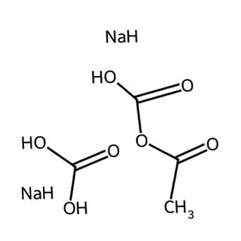 CC(=O)OC(=O)O.O=C(O)O.[NaH].[NaH]